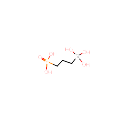 O=P(O)(O)CCC[Si](O)(O)O